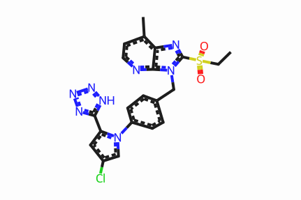 CCS(=O)(=O)c1nc2c(C)ccnc2n1Cc1ccc(-n2cc(Cl)cc2-c2nnn[nH]2)cc1